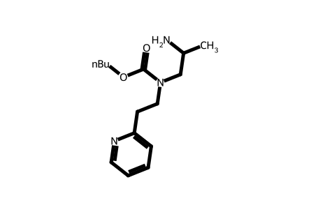 CCCCOC(=O)N(CCc1ccccn1)CC(C)N